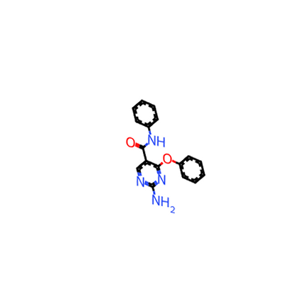 Nc1ncc(C(=O)Nc2ccccc2)c(Oc2ccccc2)n1